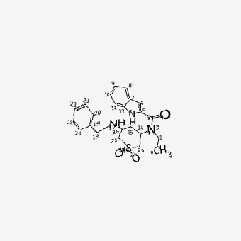 CCN(C(=O)c1cc2ccccc2[nH]1)C1C[C@H](NCc2ccccc2)CS(=O)(=O)C1